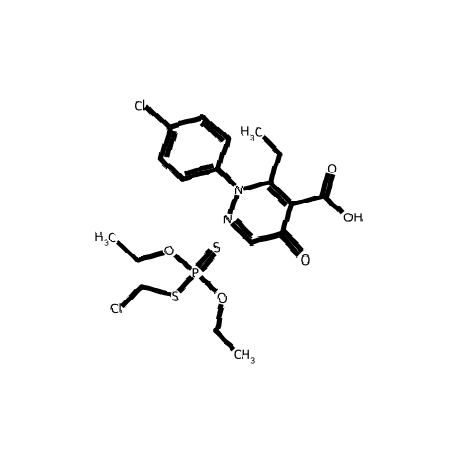 CCOP(=S)(OCC)SCCl.CCc1c(C(=O)O)c(=O)cnn1-c1ccc(Cl)cc1